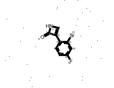 O=C1NC=C1c1ccc(F)cc1Br